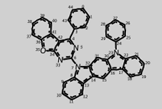 c1ccc(-c2nc(-n3c4ccccc4c4cc5c6ccccc6n(-c6ccccc6)c5cc43)nc3oc4ccccc4c23)cc1